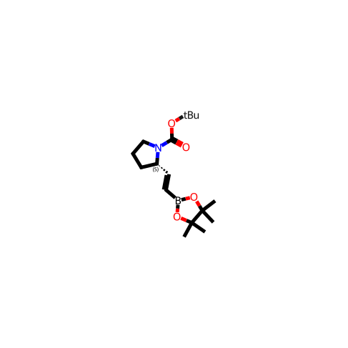 CC(C)(C)OC(=O)N1CCC[C@H]1C=CB1OC(C)(C)C(C)(C)O1